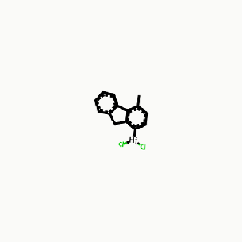 Cc1cc[c]([Hf]([Cl])[Cl])c2c1-c1ccccc1C2